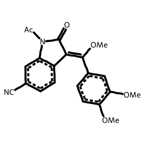 COC(=C1C(=O)N(C(C)=O)c2cc(C#N)ccc21)c1ccc(OC)c(OC)c1